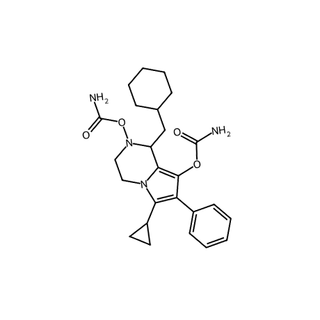 NC(=O)Oc1c(-c2ccccc2)c(C2CC2)n2c1C(CC1CCCCC1)N(OC(N)=O)CC2